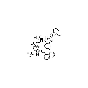 CC(O)CS(=O)(=O)CCN(C)c1nc(OCC23CCCN2CCC3)nc2c1CCN(c1cccc3cccc(Cl)c13)C2